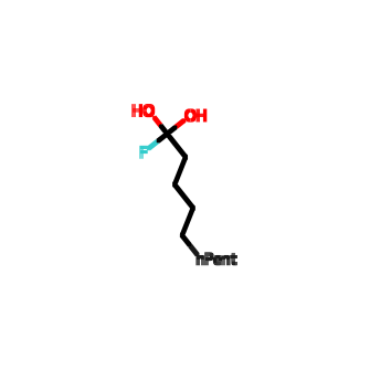 CCCCCCCCCC(O)(O)F